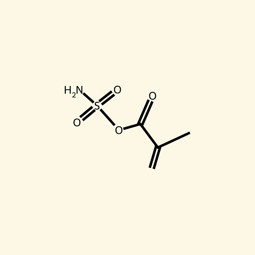 C=C(C)C(=O)OS(N)(=O)=O